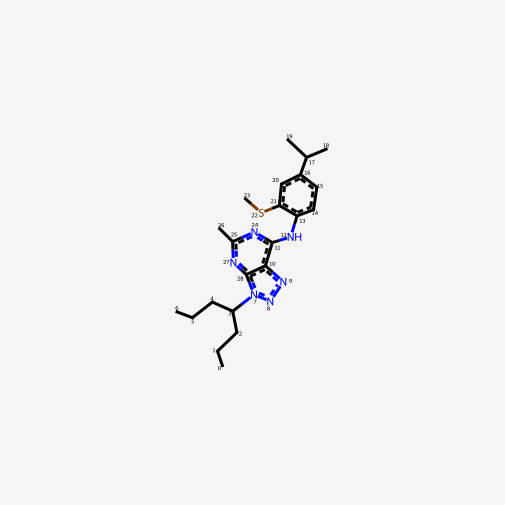 CCCC(CCC)n1nnc2c(Nc3ccc(C(C)C)cc3SC)nc(C)nc21